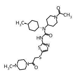 CC(=O)N1CCC(N(C(=O)Nc2ncc(SCC(=O)N3CCN(C)CC3)s2)[C@H]2CC[C@H](C)CC2)CC1